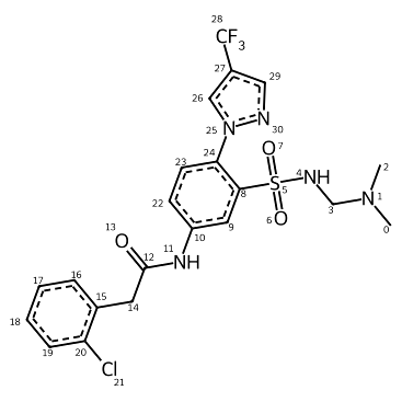 CN(C)CNS(=O)(=O)c1cc(NC(=O)Cc2ccccc2Cl)ccc1-n1cc(C(F)(F)F)cn1